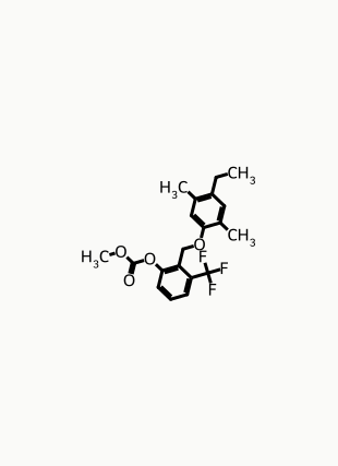 CCc1cc(C)c(OCc2c(OC(=O)OC)cccc2C(F)(F)F)cc1C